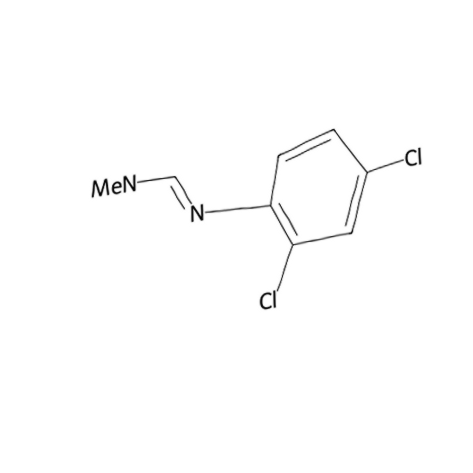 CN/C=N/c1ccc(Cl)cc1Cl